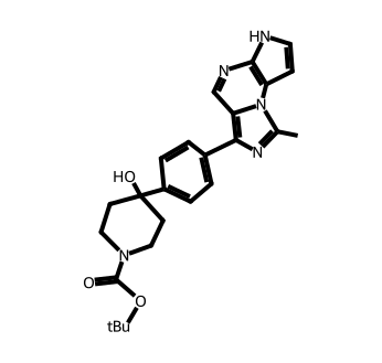 Cc1nc(-c2ccc(C3(O)CCN(C(=O)OC(C)(C)C)CC3)cc2)c2cnc3[nH]ccc3n12